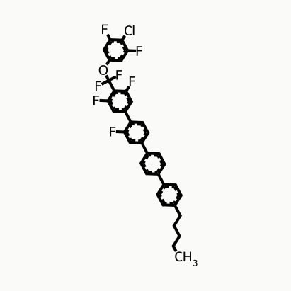 CCCCCc1ccc(-c2ccc(-c3ccc(-c4cc(F)c(C(F)(F)Oc5cc(F)c(Cl)c(F)c5)c(F)c4)c(F)c3)cc2)cc1